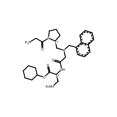 CC(=O)NC[C@H](NC(=O)CN(Cc1cccc2ccccc12)C[C@@H]1CCCN1C(=O)CN)C(=O)OC1CCCCC1